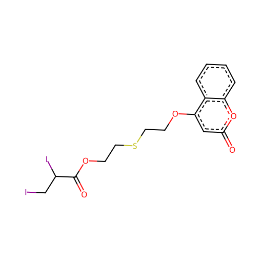 O=C(OCCSCCOc1cc(=O)oc2ccccc12)C(I)CI